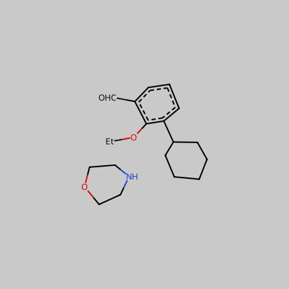 C1COCCN1.CCOc1c(C=O)cccc1C1CCCCC1